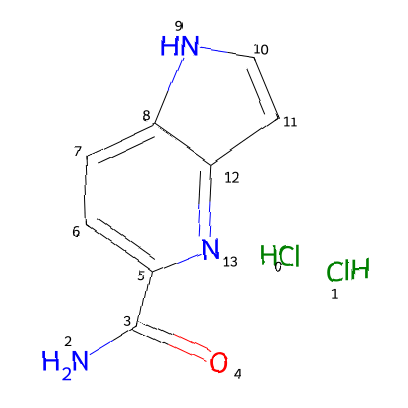 Cl.Cl.NC(=O)c1ccc2[nH]ccc2n1